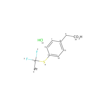 CC(C)C(F)(F)Sc1ccc(CC(=O)O)cc1.Cl